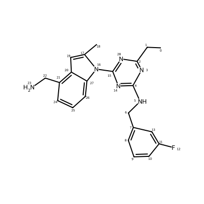 CCc1nc(NCc2cccc(F)c2)nc(-n2c(C)cc3c(CN)cccc32)n1